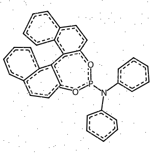 c1ccc(N(c2ccccc2)p2oc3ccc4ccccc4c3c3c(ccc4ccccc43)o2)cc1